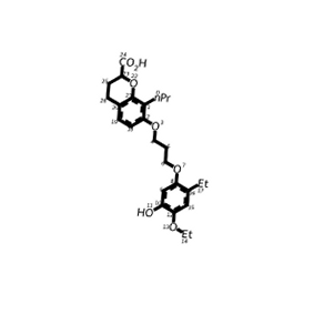 CCCc1c(OCCCOc2cc(O)c(OCC)cc2CC)ccc2c1OC(C(=O)O)CC2